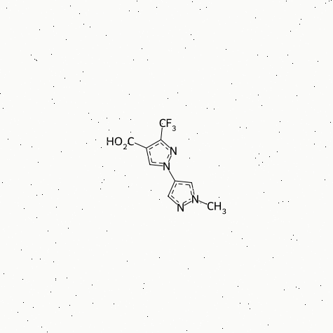 Cn1cc(-n2cc(C(=O)O)c(C(F)(F)F)n2)cn1